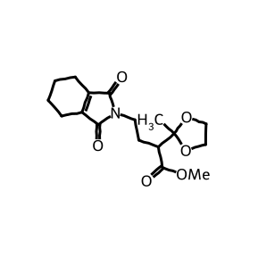 COC(=O)C(CCN1C(=O)C2=C(CCCC2)C1=O)C1(C)OCCO1